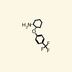 N[C@@H]1CCCC[C@H]1Oc1ccc(C(F)(F)F)cc1